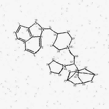 c1cc2c3c(cccc3c1)N(CC1CCN(CC(N3CCCC3)C34CC5CC(CC(C5)C3)C4)CC1)S2